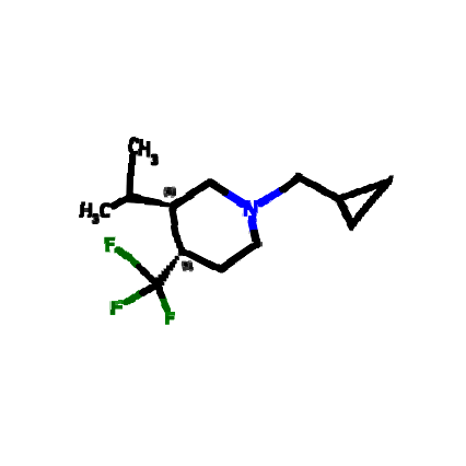 CC(C)[C@H]1CN(CC2CC2)CC[C@@H]1C(F)(F)F